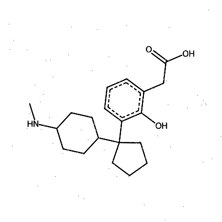 CNC1CCC(C2(c3cccc(CC(=O)O)c3O)CCCC2)CC1